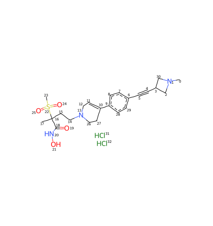 CN1CC(C#Cc2ccc(C3=CCN(CCC(C)(C(=O)NO)S(C)(=O)=O)CC3)cc2)C1.Cl.Cl